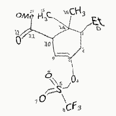 CCC1CC(OS(=O)(=O)C(F)(F)F)=CC(C(=O)OC)C1(C)C